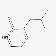 CC(C)Cc1ccc[nH]c1=O